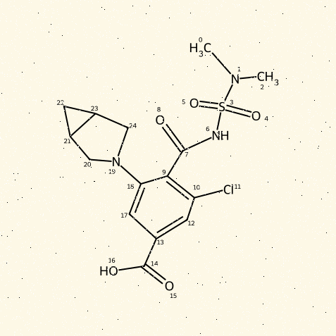 CN(C)S(=O)(=O)NC(=O)c1c(Cl)cc(C(=O)O)cc1N1CC2CC2C1